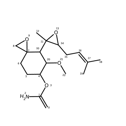 C=C(N)OC1CCC2(CO2)C(C2(C)OC2CC=C(C)C)C1OC